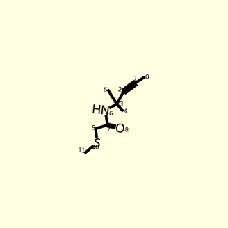 CC#CC(C)(C)NC(=O)CSC